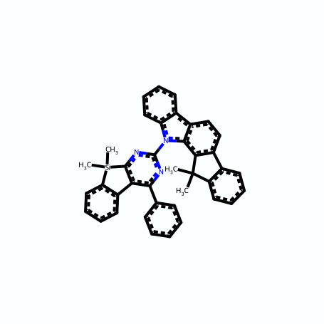 CC1(C)c2ccccc2-c2ccc3c4ccccc4n(-c4nc(-c5ccccc5)c5c(n4)[Si](C)(C)c4ccccc4-5)c3c21